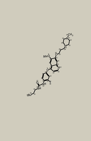 COc1cc2c(Oc3ccc(NC(=O)NCCC(C)(C)C)c(F)c3)ccnc2cc1OCCCN1CCN(C)CC1